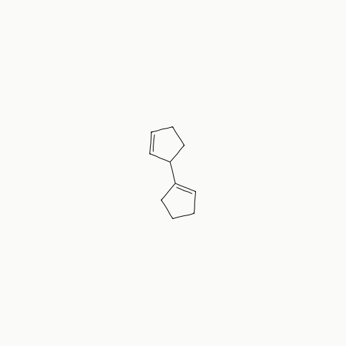 C1=CC(C2=CCCC2)CC1